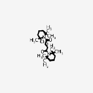 CC1(C)CCCC(C)(C)N1C(=O)CCC(=O)N1C(C)(C)CCCC1(C)C